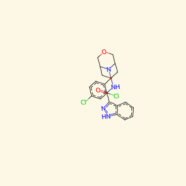 O=C(NC1CC2COCC(C1)N2Cc1ccc(Cl)cc1Cl)c1n[nH]c2ccccc12